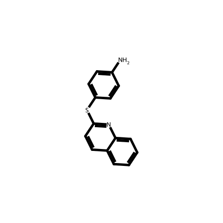 Nc1ccc(Sc2ccc3ccccc3n2)cc1